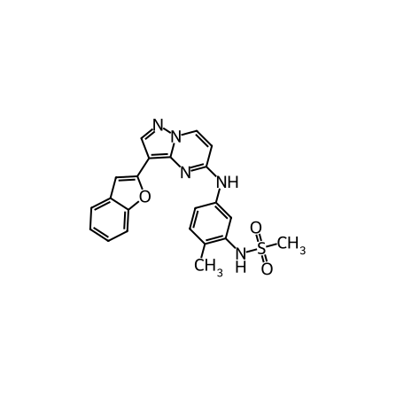 Cc1ccc(Nc2ccn3ncc(-c4cc5ccccc5o4)c3n2)cc1NS(C)(=O)=O